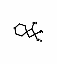 CC(C)C1(C)CC2(CCOCC2)C1O